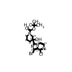 CC(C)(C)OC(=O)N1CCCC(O)(c2nc(Br)c3c(Cl)nccn23)C1